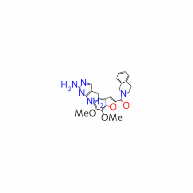 COc1cc(Cc2cnc(N)nc2N)c2cc(C(=O)N3CCc4ccccc4C3)oc2c1OC